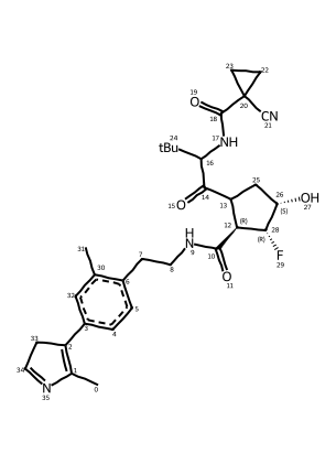 CC1=C(c2ccc(CCNC(=O)[C@H]3C(C(=O)C(NC(=O)C4(C#N)CC4)C(C)(C)C)C[C@H](O)[C@@H]3F)c(C)c2)CC=N1